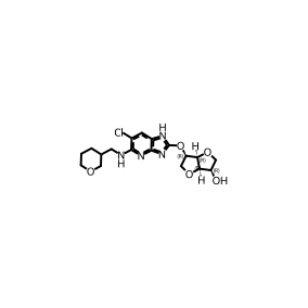 O[C@@H]1CO[C@H]2[C@@H]1OC[C@H]2Oc1nc2nc(NCC3CCCOC3)c(Cl)cc2[nH]1